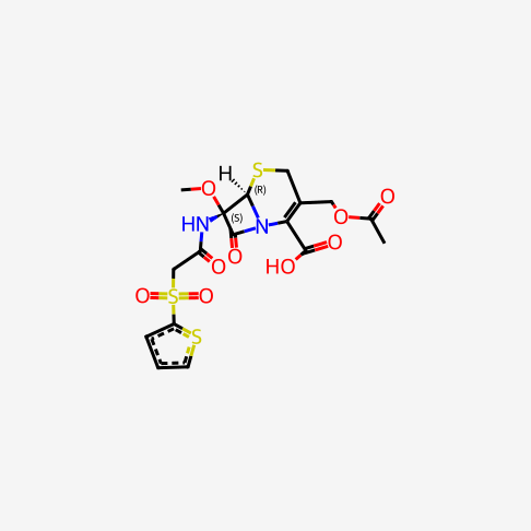 CO[C@@]1(NC(=O)CS(=O)(=O)c2cccs2)C(=O)N2C(C(=O)O)=C(COC(C)=O)CS[C@@H]21